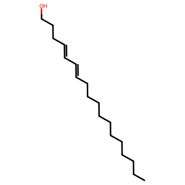 CCCCCCCCCCC/C=C/C=C/CCCO